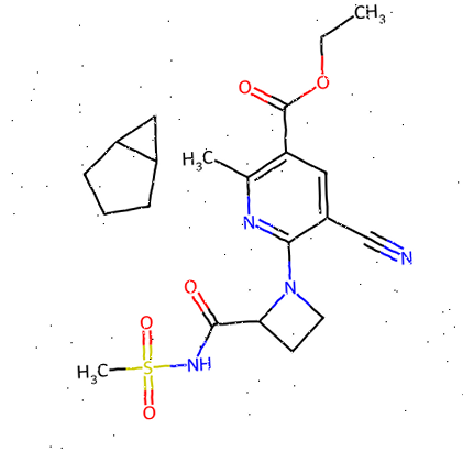 C1CC2CC2C1.CCOC(=O)c1cc(C#N)c(N2CCC2C(=O)NS(C)(=O)=O)nc1C